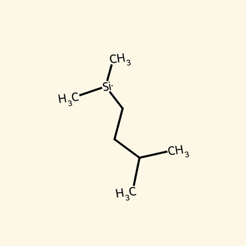 CC(C)CC[Si](C)C